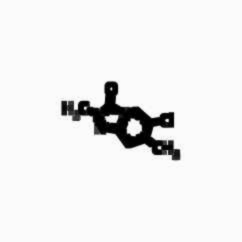 Cc1cc2nn(C)c(=O)n2cc1Cl